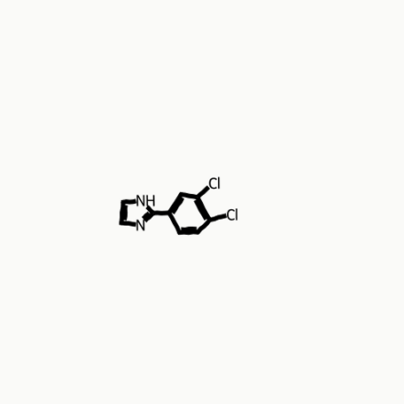 Clc1ccc(-c2ncc[nH]2)cc1Cl